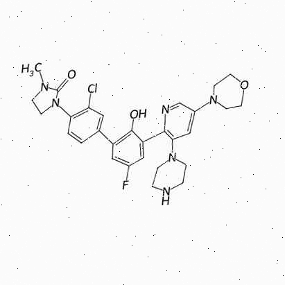 CN1CCN(c2ccc(-c3cc(F)cc(-c4ncc(N5CCOCC5)cc4N4CCNCC4)c3O)cc2Cl)C1=O